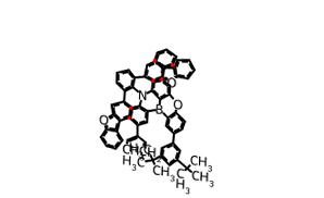 C=C/C(=C\C)c1ccc2c(c1)B1c3cc(-c4cc(C(C)(C)C)cc(C(C)(C)C)c4)ccc3Oc3cc(-c4ccccc4)cc(c31)N2c1c(-c2ccc3c(c2)oc2ccccc23)cccc1-c1ccc2c(c1)oc1ccccc12